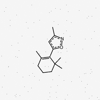 CC1=C(c2cc(C)no2)C(C)(C)CCC1